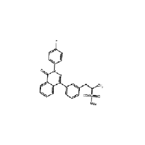 CNS(=O)(=O)C(C)Cc1cccc(-c2nn(-c3ccc(F)cc3)c(=O)c3ccccc23)c1